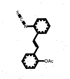 CC(=O)Oc1ccccc1/C=C/c1ccccc1N=C=S